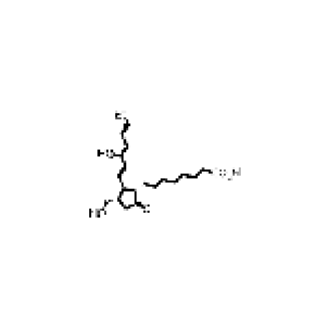 CCC=CCC(O)C=C[C@@H]1[C@@H](CO)CC(=O)[C@H]1CCCCCCCC(=O)O